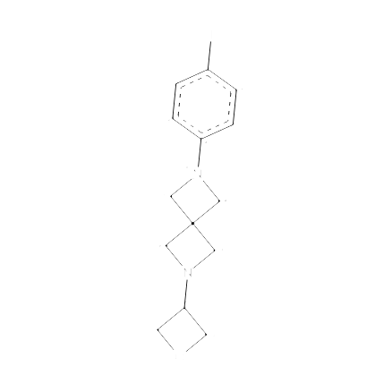 Ic1ccc(N2CC3(C2)CN(C2COC2)C3)cc1